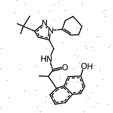 CC(C(=O)NCc1cc(C(C)(C)C)nn1C1=CCCCC1)c1cccc2ccc(O)cc12